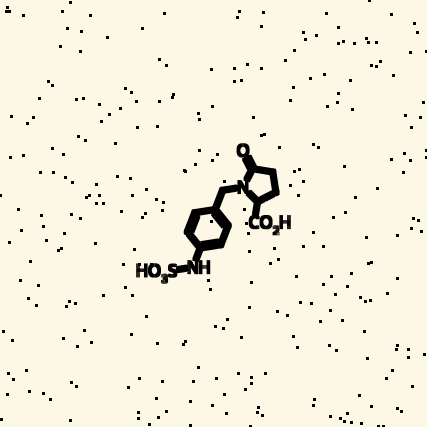 O=C(O)C1CCC(=O)N1Cc1ccc(NS(=O)(=O)O)cc1